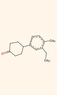 CC(=O)OCc1cc(C2CCC(=O)CC2)ccc1OC(C)=O